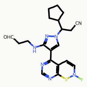 N#CCC(C1CCCC1)n1cc(-c2ncnc3c2C=CN(F)S3)c(NCCC=O)n1